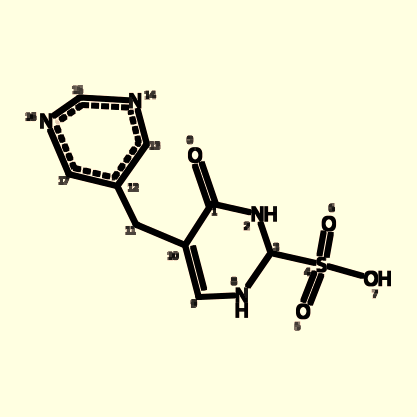 O=C1NC(S(=O)(=O)O)NC=C1Cc1cncnc1